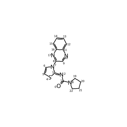 O=C(/N=c1\sccn1-c1cnc2ccccc2n1)N1CCCC1